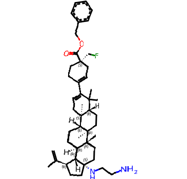 C=C(C)[C@@H]1CC[C@]2(NCCN)CC[C@]3(C)[C@H](CC[C@@H]4[C@@]5(C)CC=C(C6=CC[C@](CF)(C(=O)OCc7ccccc7)CC6)C(C)(C)[C@@H]5CC[C@]43C)[C@@H]12